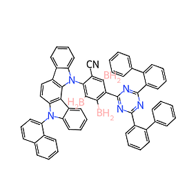 Bc1c(B)c(-n2c3ccccc3c3ccc4c(c5ccccc5n4-c4cccc5ccccc45)c32)c(C#N)c(B)c1-c1nc(-c2ccccc2-c2ccccc2)nc(-c2ccccc2-c2ccccc2)n1